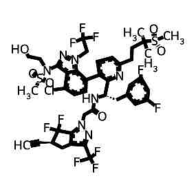 C#C[C@@H]1Cc2c(C(F)(F)F)nn(CC(=O)N[C@@H](Cc3cc(F)cc(F)c3)c3nc(CCC(C)(C)S(C)(=O)=O)ccc3-c3ccc(Cl)c4c(N(CCO)S(C)(=O)=O)nn(CC(F)(F)F)c34)c2C1(F)F